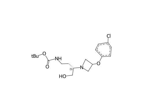 CC(C)(C)OC(=O)NCC[C@@H](CO)N1CC(Oc2ccc(Cl)cc2)C1